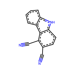 N#Cc1ccc2[nH]c3ccccc3c2c1C#N